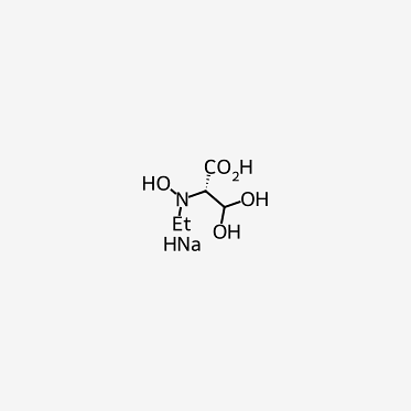 CCN(O)[C@H](C(=O)O)C(O)O.[NaH]